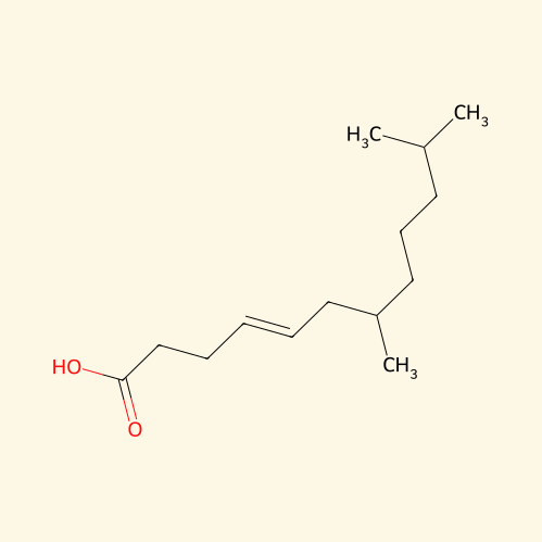 CC(C)CCCC(C)CC=CCCC(=O)O